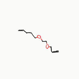 C=CCCCOCCOCC=C